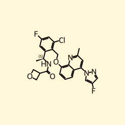 Cc1cc(-n2cc(F)cn2)c2cccc(OCc3c(Cl)cc(F)cc3[C@H](C)NC(=O)C3COC3)c2n1